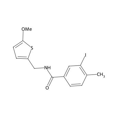 COc1ccc(CNC(=O)c2ccc(C)c(I)c2)s1